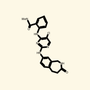 CNC(=O)c1ccccc1Nc1nc(Nc2ccc3c(c2)CNC(=O)CC3)ncc1Cl